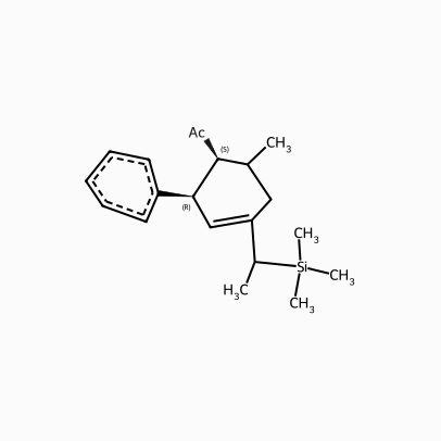 CC(=O)[C@H]1C(C)CC(C(C)[Si](C)(C)C)=C[C@H]1c1ccccc1